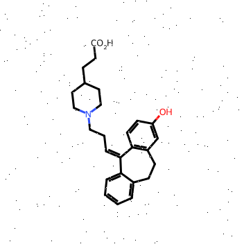 O=C(O)CCC1CCN(CCC=C2c3ccccc3CCc3cc(O)ccc32)CC1